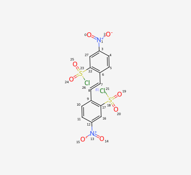 O=[N+]([O-])c1ccc(/C=C/c2ccc([N+](=O)[O-])cc2S(=O)(=O)Cl)c(S(=O)(=O)Cl)c1